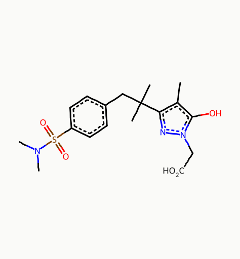 Cc1c(C(C)(C)Cc2ccc(S(=O)(=O)N(C)C)cc2)nn(CC(=O)O)c1O